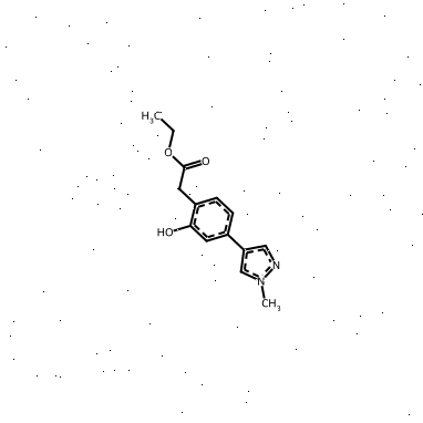 CCOC(=O)Cc1ccc(-c2cnn(C)c2)cc1O